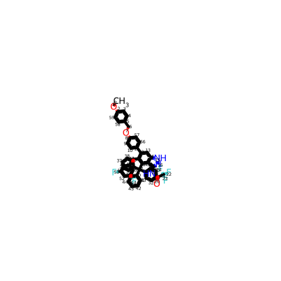 COc1ccc(COc2ccc(-c3cc4[nH]nc(NC(=O)C(F)(F)F)c4c(C(c4ccccc4)(c4ccccc4)c4ccccc4)c3Cc3cc(F)cc(F)c3)cc2)cc1